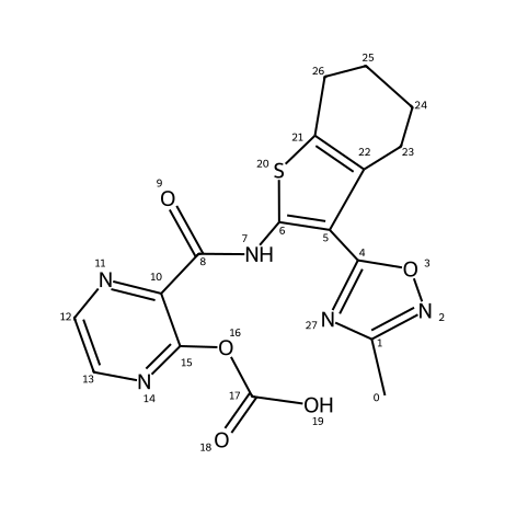 Cc1noc(-c2c(NC(=O)c3nccnc3OC(=O)O)sc3c2CCCC3)n1